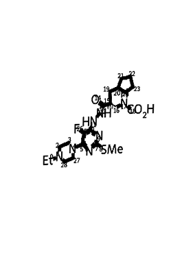 CCN1CCN(c2nc(SC)nc(NNC(=O)[C@@H](CNC(=O)O)CC3CCCC3)c2F)CC1